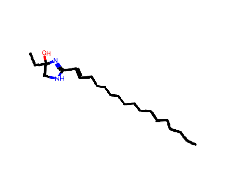 CCCCCCCCCCCCCCCC=CC1=NC(O)(CC)CN1